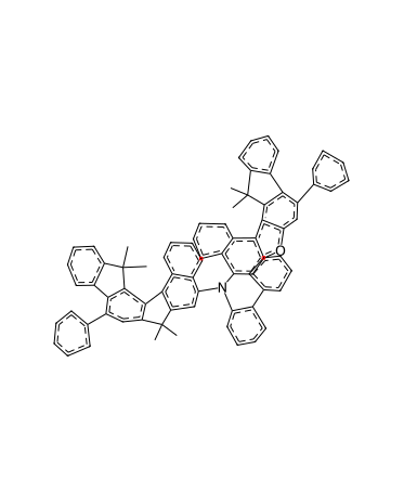 CC1(C)c2cc(-c3ccccc3)c3c(c2-c2c1cc(N(c1ccccc1-c1ccccc1)c1cc4oc5cc(-c6ccccc6)c6c(c5c4c4ccccc14)C(C)(C)c1ccccc1-6)c1ccccc21)C(C)(C)c1ccccc1-3